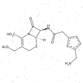 CC(=O)OCC1=C(C(=O)O)N2C(=O)[C@@H](NC(=O)Cc3ccc(CN)s3)[C@H]2SC1